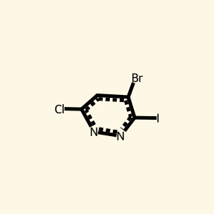 Clc1cc(Br)c(I)nn1